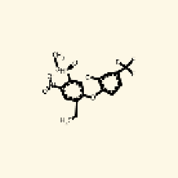 CCc1cc([N+](=O)[O-])c([PH](=O)OC)cc1Oc1ccc(C(F)(F)F)cc1Cl